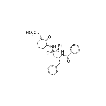 CCOP(=O)(CC(Cc1ccccc1)NC(=O)c1ccccc1)N[C@H]1CCCN(CC(=O)O)C1=O